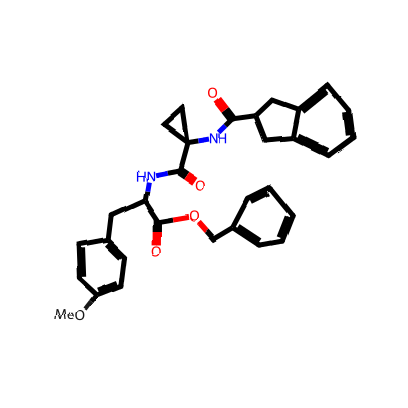 COc1ccc(CC(NC(=O)C2(NC(=O)C3Cc4ccccc4C3)CC2)C(=O)OCc2ccccc2)cc1